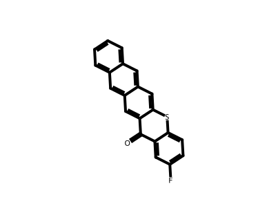 O=c1c2cc(F)ccc2sc2cc3cc4ccccc4cc3cc12